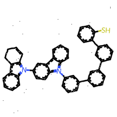 Sc1ccccc1-c1cccc(-c2cccc(-c3cccc(-n4c5ccccc5c5cc(-n6c7c(c8ccccc86)CCC=C7)ccc54)c3)c2)c1